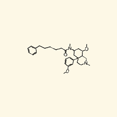 COc1cccc(C23CCN(C)CC2C(OC)CC(N(C)C(=O)CCCCCc2ccccc2)C3)c1